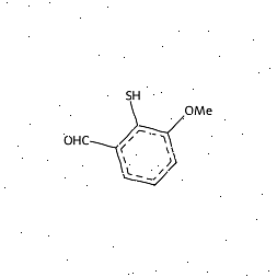 COc1cccc(C=O)c1S